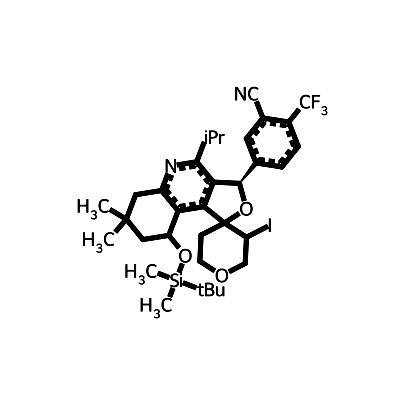 CC(C)c1nc2c(c3c1[C@@H](c1ccc(C(F)(F)F)c(C#N)c1)OC31CCOCC1I)C(O[Si](C)(C)C(C)(C)C)CC(C)(C)C2